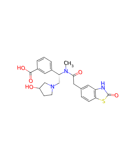 CN(C(=O)Cc1ccc2sc(=O)[nH]c2c1)[C@H](CN1CCC(O)C1)c1cccc(C(=O)O)c1